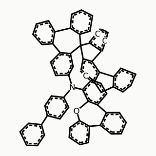 c1ccc(-c2ccc(N(c3ccc4c(c3)C3(c5ccccc5-c5ccccc5-4)c4ccccc4-c4c3ccc3c4-c4ccccc4C3)c3cccc4c3Oc3ccccc3-c3ccccc3-4)cc2)cc1